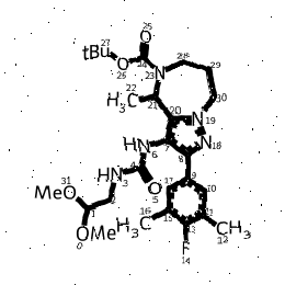 COC(CNC(=O)Nc1c(-c2cc(C)c(F)c(C)c2)nn2c1C(C)N(C(=O)OC(C)(C)C)CCC2)OC